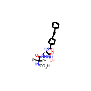 CC(C)C(NC(=O)O)(C(=O)NC[C@H](NC(=O)c1ccc(C#Cc2ccccc2)cc1)C(=O)NO)C(C)C